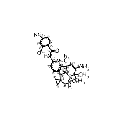 CC1(C)C(N)=N[C@](C)(c2nc(NC(=O)c3ncc(C#N)cc3Cl)ccc2F)[C@H]2CC3(CC3)CNS21O